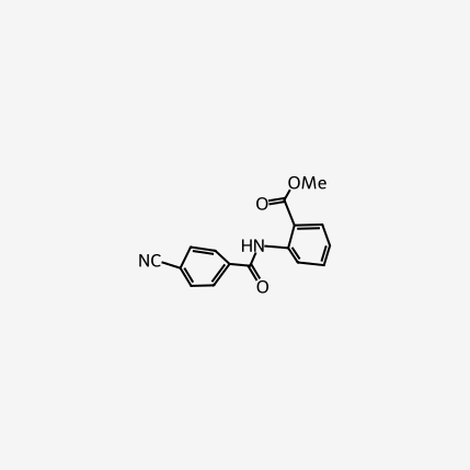 COC(=O)c1ccccc1NC(=O)c1ccc(C#N)cc1